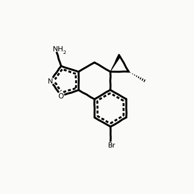 C[C@H]1C[C@@]12Cc1c(N)noc1-c1cc(Br)ccc12